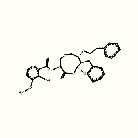 COc1ccnc(C(=O)N[C@H]2COC[C@H](CCCc3ccccc3)[C@@H](Cc3ccccc3)[C@H](C)OC2=O)c1O